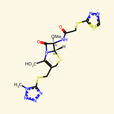 CO[C@@]1(NC(=O)CSc2nncs2)C(=O)N2C(C(=O)O)=C(CSc3nnnn3C)CS[C@H]21